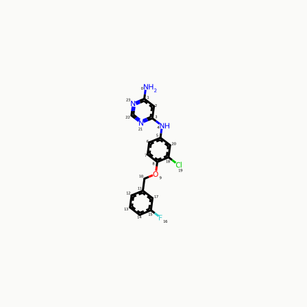 Nc1cc(Nc2ccc(OCc3cccc(F)c3)c(Cl)c2)ncn1